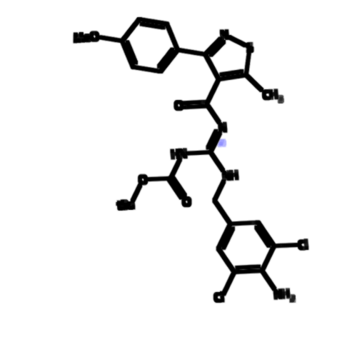 COc1ccc(-c2nsc(C)c2C(=O)/N=C(/NCc2cc(Cl)c(N)c(Cl)c2)NC(=O)OC(C)(C)C)cc1